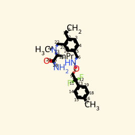 C=Cc1ccc(CNOCC(F)(F)c2ccc(C)cc2)cc1CN(C)C(CCC)C(N)=O